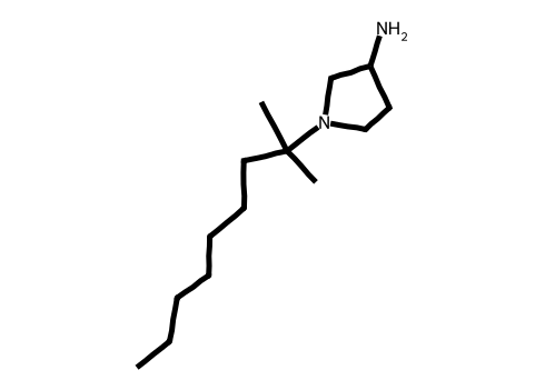 CCCCCCCC(C)(C)N1CCC(N)C1